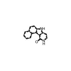 O=c1[nH]ccc2[nH]c3ccc4ccccc4c3c12